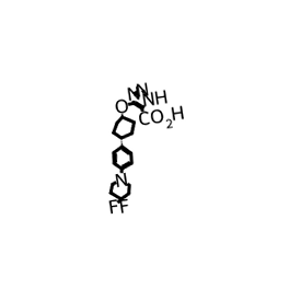 O=C(O)c1[nH]nnc1O[C@H]1CC[C@@H](c2ccc(N3CCC(F)(F)CC3)cc2)CC1